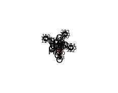 CO[C@]1(C)O[C@@H]2C(OCc3ccccc3)C[C@H](OCc3ccccc3)[C@H](OP(OCc3ccccc3)OC[C@H](O)CC(=O)C=O)[C@H]2OC1C